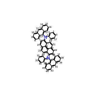 c1ccc(N(c2c3ccccc3cc3ccccc23)c2ccc3ccc4c(N(c5ccccc5)c5c6ccccc6cc6ccccc56)ccc5ccc2c3c54)cc1